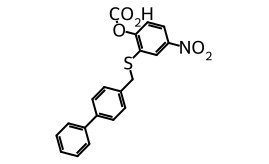 O=C(O)Oc1ccc([N+](=O)[O-])cc1SCc1ccc(-c2ccccc2)cc1